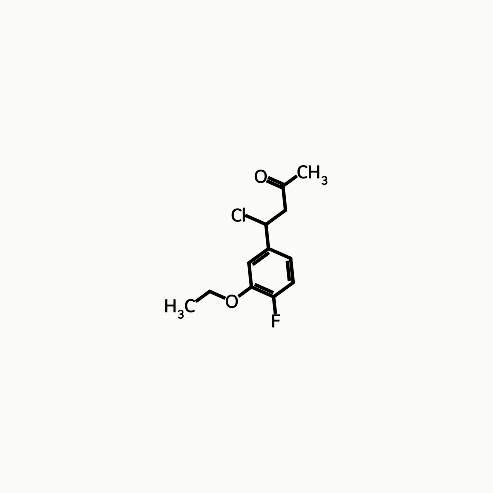 CCOc1cc(C(Cl)CC(C)=O)ccc1F